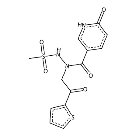 CS(=O)(=O)NN(CC(=O)c1cccs1)C(=O)c1ccc(=O)[nH]c1